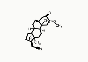 CO[C@H]1C[C@@]2(C)C(=CC[C@@H]3[C@@H]2CC[C@]2(C)/C(=C\C#N)CC[C@@H]32)CC1=O